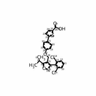 CC(C)c1onc(-c2c(Cl)cccc2Cl)c1COc1ccc(-c2ccc(C(=O)O)s2)cc1